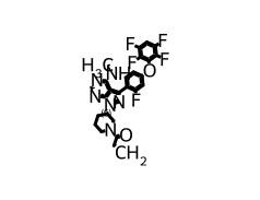 C=CC(=O)N1CCC[C@H](n2nc(-c3ccc(Oc4c(F)c(F)cc(F)c4F)cc3F)c3c(NC)ncnc32)C1